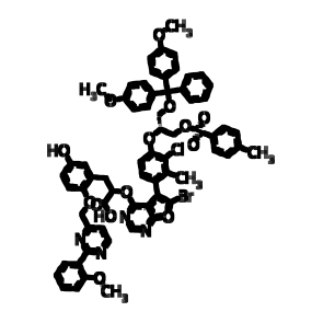 COc1ccc(C(OC[C@H](COS(=O)(=O)c2ccc(C)cc2)Oc2ccc(-c3c(Br)oc4ncnc(OC(Cc5cc(O)ccc5OCc5ccnc(-c6ccccc6OC)n5)C(=O)O)c34)c(C)c2Cl)(c2ccccc2)c2ccc(OC)cc2)cc1